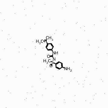 CN(C)c1ccc(NC(=O)N=S(C)(=O)c2ccc(N)cc2)cc1